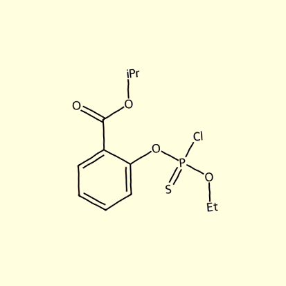 CCOP(=S)(Cl)Oc1ccccc1C(=O)OC(C)C